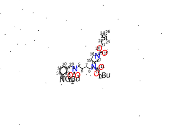 CC(C)(C)OC(=O)N(CCCCN(C(=O)OC(C)(C)C)C1CCN(C(=O)OCC[Si](C)(C)C)C1)Cc1cccc([N+](=O)[O-])c1